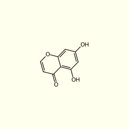 O=c1ccoc2cc(O)cc(O)c12